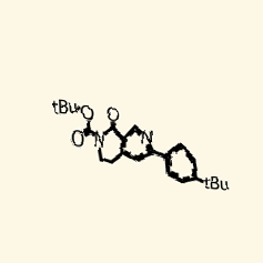 CC(C)(C)OC(=O)N1CCc2cc(-c3ccc(C(C)(C)C)cc3)ncc2C1=O